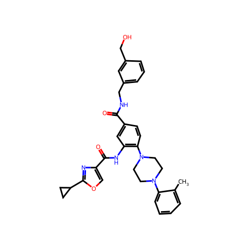 Cc1ccccc1N1CCN(c2ccc(C(=O)NCc3cccc(CO)c3)cc2NC(=O)c2coc(C3CC3)n2)CC1